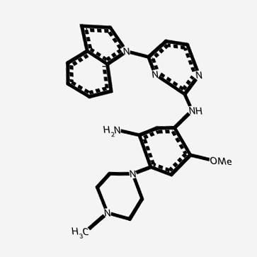 COc1cc(N2CCN(C)CC2)c(N)cc1Nc1nccc(-n2ccc3ccccc32)n1